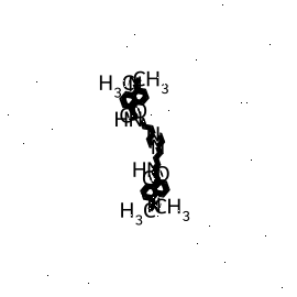 CN(C)c1cccc2c(S(=O)(=O)NCCCN3CCN(CCCNS(=O)(=O)c4cccc5c(N(C)C)cccc45)CC3)cccc12